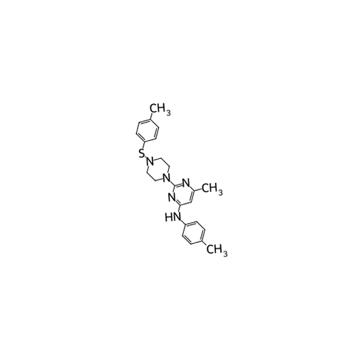 Cc1ccc(Nc2cc(C)nc(N3CCN(Sc4ccc(C)cc4)CC3)n2)cc1